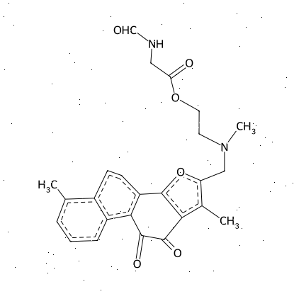 Cc1c(CN(C)CCOC(=O)CNC=O)oc2c1C(=O)C(=O)c1c-2ccc2c(C)cccc12